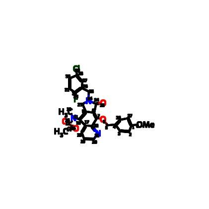 COc1ccc(COc2c3c(c(N(C)S(C)(=O)=O)c4cccnc24)CN(Cc2cc(Cl)ccc2F)C3=O)cc1